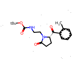 Cc1ccccc1C(=O)[C@@H]1CCC(=O)N1CCNC(=O)OC(C)(C)C